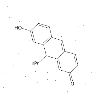 CCCC1C2=CC(=O)C=CC2=Cc2ccc(O)cc21